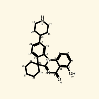 O=c1nc2n(c3cccc(O)c13)-c1cc(C3CCNCC3)ccc1C21CCCCC1